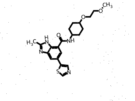 COCCOC1CCC(NC(=O)c2cc(-c3cncs3)cc3nc(C)[nH]c23)CC1